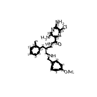 CC(=O)Oc1ccc(CNC[C@H](CNC(=O)c2nc(Cl)c(N)nc2N)Cc2ccccc2C)cc1